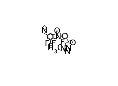 Cn1cnnc1[C@H](F)C1(c2cccc(N3Cc4c(cc(CN5CCC5)cc4C(F)(F)F)C3=O)c2)COC1